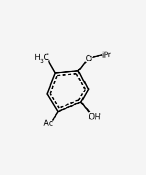 CC(=O)c1cc(C)c(OC(C)C)cc1O